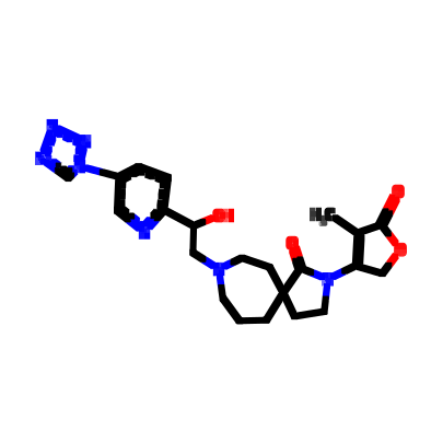 CC1=C(N2CCC3(CCCN(CC(O)c4ccc(-n5cnnn5)cn4)CC3)C2=O)COC1=O